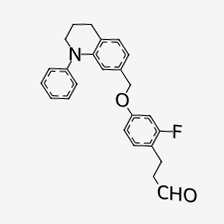 O=CCCc1ccc(OCc2ccc3c(c2)N(c2ccccc2)CCC3)cc1F